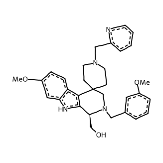 COc1cccc(CN2CC3(CCN(Cc4ccccn4)CC3)c3c([nH]c4cc(OC)ccc34)[C@@H]2CO)c1